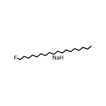 CCCCCCCCCCCCCCCCCCF.[NaH]